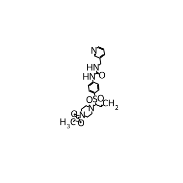 C=CC(N1CCN(S(C)(=O)=O)CC1)S(=O)(=O)c1ccc(NC(=O)NCc2cccnc2)cc1